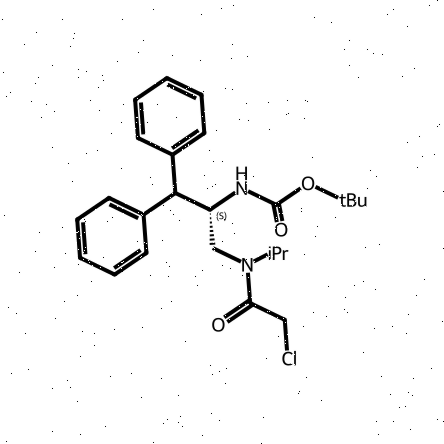 CC(C)N(C[C@@H](NC(=O)OC(C)(C)C)C(c1ccccc1)c1ccccc1)C(=O)CCl